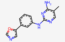 Cc1cnc(Nc2cccc(-c3cnco3)c2)nc1N